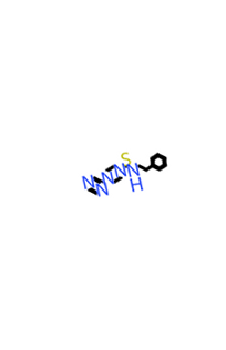 S=C(NCCc1ccccc1)N1CCN(c2cnccn2)CC1